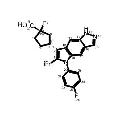 CC(C)c1c([C@@H]2CC[C@@](F)(C(=O)O)C2)c2cc3[nH]ncc3cc2n1-c1ccc(F)cc1